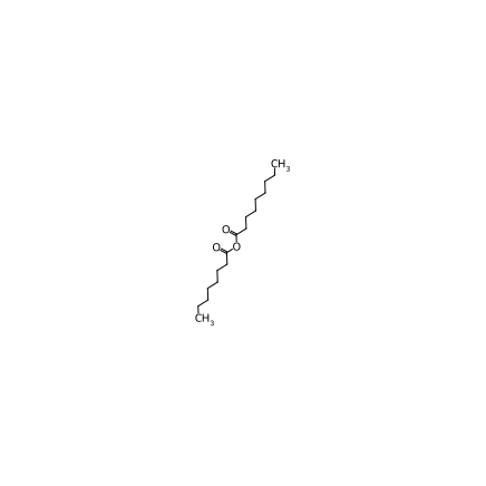 CCCCCCCCC(=O)OC(=O)CCCCCCC